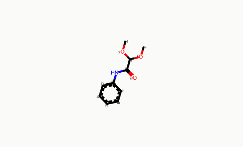 COC(OC)C(=O)Nc1ccccc1